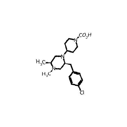 C[C@H]1CN(C2CCN(C(=O)O)CC2)[C@@H](Cc2ccc(Cl)cc2)CN1C